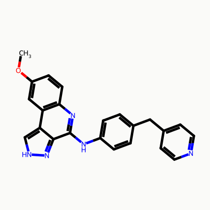 COc1ccc2nc(Nc3ccc(Cc4ccncc4)cc3)c3n[nH]cc3c2c1